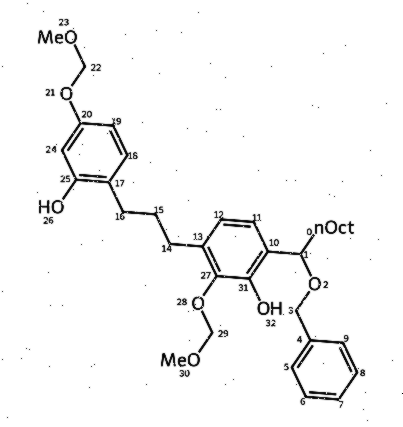 CCCCCCCCC(OCc1ccccc1)c1ccc(CCCc2ccc(OCOC)cc2O)c(OCOC)c1O